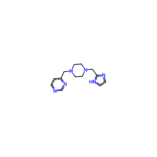 c1cc(CN2CCN(Cc3ncc[nH]3)CC2)ncn1